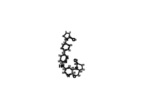 O=C1CCCN1c1ccc(-c2ccc(Nc3cnc4c(c3)N3C(=O)CCC3CO4)nn2)cc1